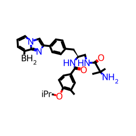 Bc1cccn2cc(-c3ccc(C[C@@H](CNC(=O)C(C)(C)N)NC(=O)c4ccc(OC(C)C)c(C)c4)cc3)nc12